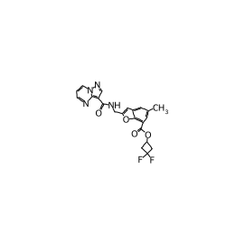 Cc1cc(C(=O)OC2CC(F)(F)C2)c2oc(CNC(=O)c3cnn4cccnc34)cc2c1